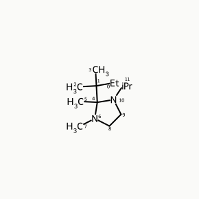 CCC(C)(C)C1(C)N(C)CCN1C(C)C